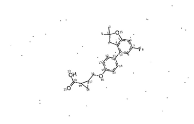 CC1(C)Cc2c(cc(F)cc2-c2ccc(OCC3CC3C(=O)O)cc2)O1